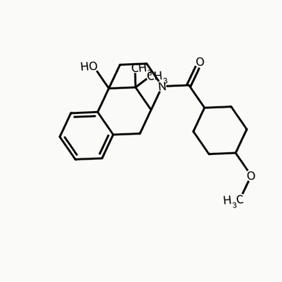 COC1CCC(C(=O)N2CCC3(O)c4ccccc4CC2C3(C)C)CC1